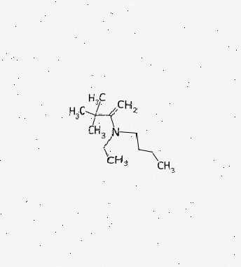 C=C(N(CC)CCCC)C(C)(C)C